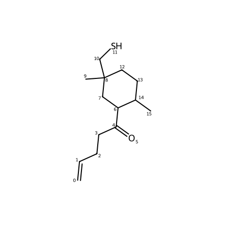 C=CCCC(=O)C1CC(C)(CS)CCC1C